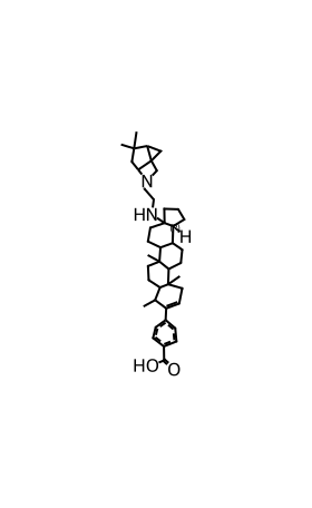 CC1C(c2ccc(C(=O)O)cc2)=CCC2(C)C1CCC1(C)C3CCC4(NCCN5CC67CC6C(C)(C)CC57)CCC[C@@H]4C3CCC21